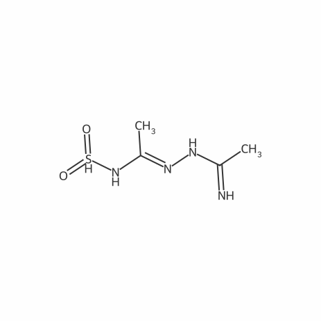 CC(=N)N/N=C(\C)N[SH](=O)=O